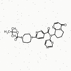 CC(C)(C)OC(=O)N1CCCN(c2ccc(C(=O)N(c3ccncn3)C3CCCn4c3nccc4=O)cn2)CC1